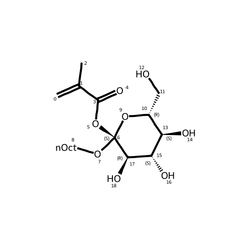 C=C(C)C(=O)O[C@@]1(OCCCCCCCC)O[C@H](CO)[C@@H](O)[C@H](O)[C@H]1O